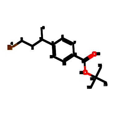 CC(CCBr)c1ccc(C(=O)OC(C)(C)C)cc1